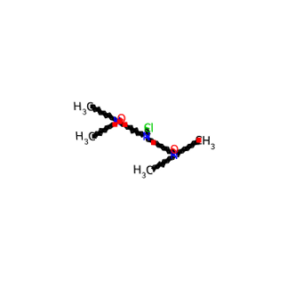 CCCCCCCCCCN(CCCCCCCCCC)C(=O)CCCCCCCCCN(CCCl)CCCCCCCCCC(=O)N(CCCCCCCCCC)CCCCCCCCCC